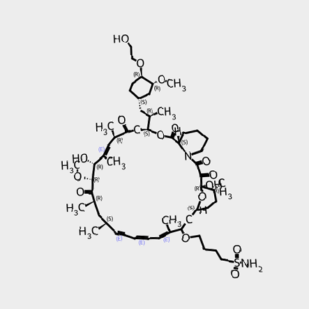 CO[C@@H]1C[C@H](C[C@@H](C)[C@@H]2CC(=O)[C@H](C)/C=C(\C)[C@@H](O)[C@@H](OC)C(=O)[C@H](C)C[C@H](C)/C=C/C=C/C=C(\C)C(OCCCCS(N)(=O)=O)C[C@@H]3CC[C@@H](C)[C@@](O)(O3)C(=O)C(=O)N3CCCC[C@H]3C(=O)O2)CC[C@H]1OCCO